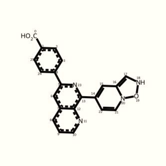 O=C(O)c1ccc(-c2cc3cccnc3c(C3=CC4=CNON4C=C3)n2)cc1